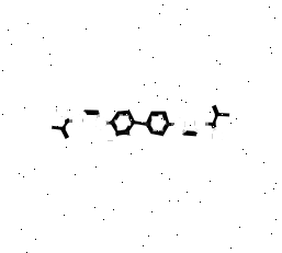 C=C(C)C(=O)O/C=C\Oc1ccc(-c2ccc(O/C=C\OC(=O)C(=C)C)c(F)c2F)cc1